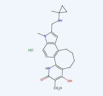 Cl.Cn1c(CNC2(C)CC2)cc2c3c(ccc21)-c1[nH]c(=O)c(C(=O)O)c(O)c1CCCC3